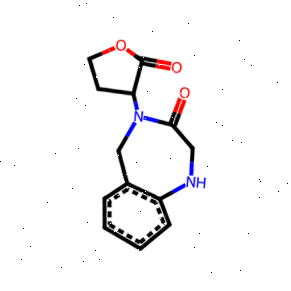 O=C1OCCC1N1Cc2ccccc2NCC1=O